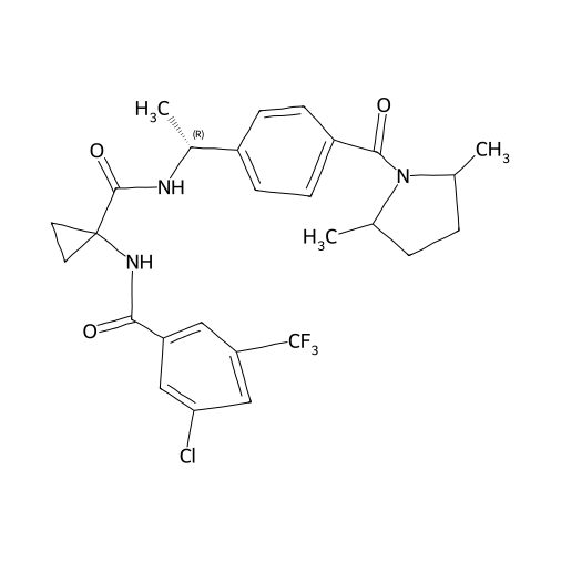 CC1CCC(C)N1C(=O)c1ccc([C@@H](C)NC(=O)C2(NC(=O)c3cc(Cl)cc(C(F)(F)F)c3)CC2)cc1